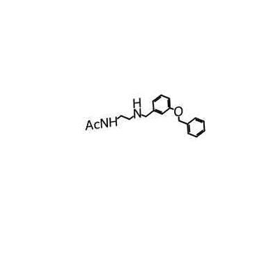 CC(=O)NCCNCc1cccc(OCc2ccccc2)c1